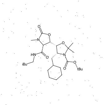 CCC(C)CNC(=O)C1C([C@@H]2OC(C)(C)N(C(=O)OC(C)(C)C)[C@@H]2CC2CCCCC2)OC(=O)N1C